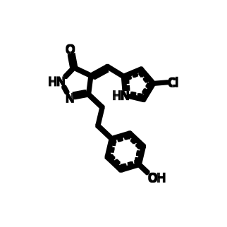 O=C1NN=C(CCc2ccc(O)cc2)/C1=C\c1cc(Cl)c[nH]1